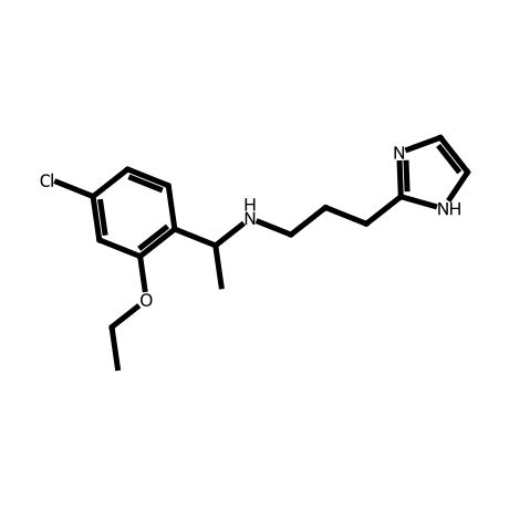 CCOc1cc(Cl)ccc1C(C)NCCCc1ncc[nH]1